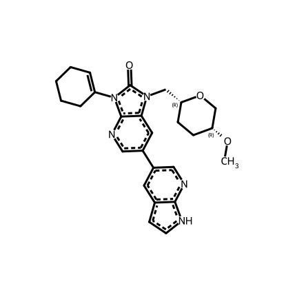 CO[C@@H]1CC[C@H](Cn2c(=O)n(C3=CCCCC3)c3ncc(-c4cnc5[nH]ccc5c4)cc32)OC1